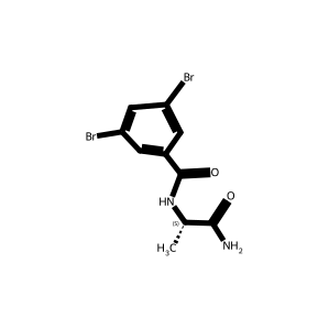 C[C@H](NC(=O)c1cc(Br)cc(Br)c1)C(N)=O